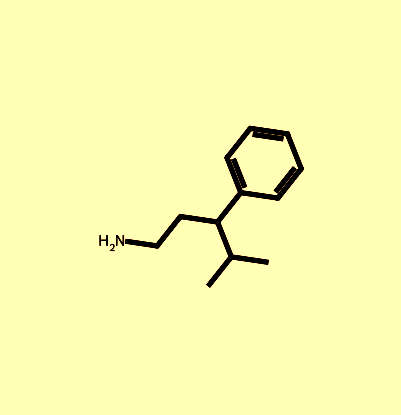 CC(C)C(CCN)c1ccccc1